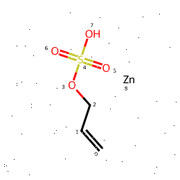 C=CCOS(=O)(=O)O.[Zn]